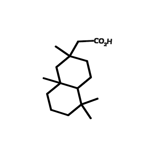 CC1(CC(=O)O)CCC2C(C)(C)CCCC2(C)C1